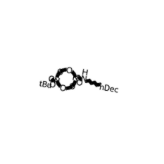 CCCCCCCCCCCCCCCCNC(=O)CN1CCOCCOCCN(C(=O)OC(C)(C)C)CCOCCOCC1